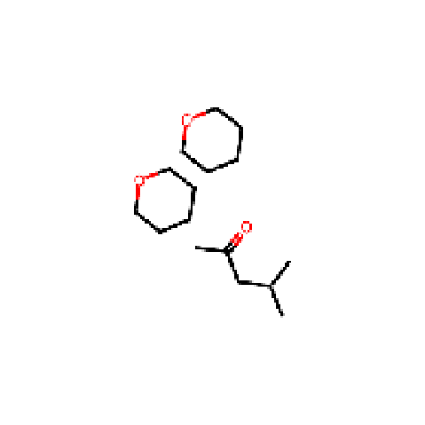 C1CCOCC1.C1CCOCC1.CC(=O)CC(C)C